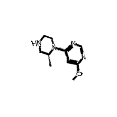 COc1cc(N2CCNC[C@@H]2C)ncn1